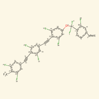 CCCCCc1ccc(C(F)(F)Oc2cc(F)c(C#Cc3cc(F)c(C#Cc4cc(F)c(C(F)(F)F)c(F)c4)c(F)c3)c(F)c2)c(F)c1